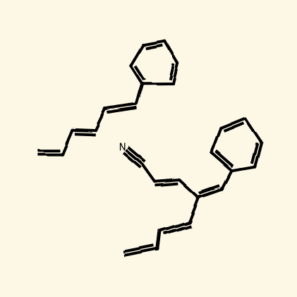 C=CC=CC(C=CC#N)=Cc1ccccc1.C=CC=CC=Cc1ccccc1